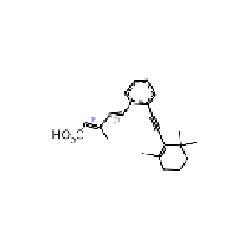 CC1=C(C#Cc2ccccc2/C=C/C(C)=C/C(=O)O)C(C)(C)CCC1